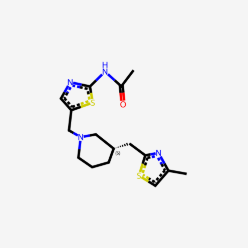 CC(=O)Nc1ncc(CN2CCC[C@@H](Cc3nc(C)cs3)C2)s1